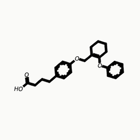 O=C(O)CCCc1ccc(OCC2=C(Oc3ccccc3)CCCC2)cc1